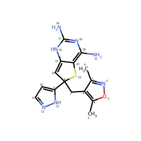 Cc1noc(C)c1CC1(c2ccn[nH]2)C=C2NC(N)=NC(N)=C2S1